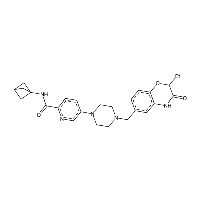 CCC1Oc2ccc(CN3CCN(c4ccc(C(=O)NC56CC(C5)C6)nc4)CC3)cc2NC1=O